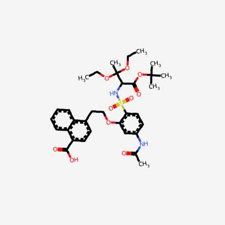 CCOC(C)(OCC)C(NS(=O)(=O)c1ccc(NC(C)=O)cc1OCCc1ccc(C(=O)O)c2ccccc12)C(=O)OC(C)(C)C